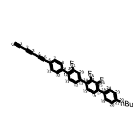 C#CC#CC#Cc1ccc(-c2ccc(-c3ccc(-c4ccc(CCCC)cc4)c(F)c3F)cc2F)cc1